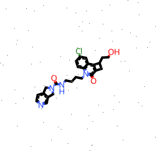 O=C(NCCCCn1c(=O)c2c(c3cc(Cl)ccc31)C(CCO)C2)N1Cc2ccncc2C1